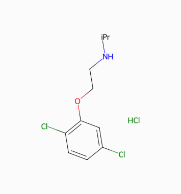 CC(C)NCCOc1cc(Cl)ccc1Cl.Cl